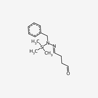 C[Si](C)(C)N(Cc1ccccc1)/N=C/CCC=O